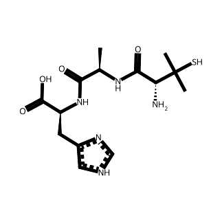 C[C@@H](NC(=O)[C@@H](N)C(C)(C)S)C(=O)N[C@@H](Cc1c[nH]cn1)C(=O)O